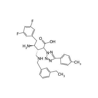 CCc1cccc(CNC[C@@H](C(C(=O)O)n2nnc(-c3ccc(C)cc3)n2)[C@@H](N)Cc2cc(F)cc(F)c2)c1